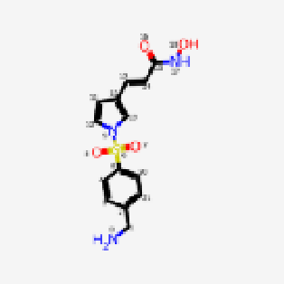 NCc1ccc(S(=O)(=O)n2ccc(C=CC(=O)NO)c2)cc1